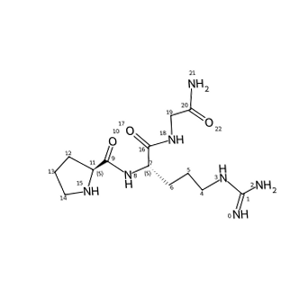 N=C(N)NCCC[C@H](NC(=O)[C@@H]1CCCN1)C(=O)NCC(N)=O